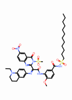 CCCCCCCCCCCCS(=O)(=O)NC(=O)c1ccc(OC)c(NC(=O)/C(=N/c2ccc3c(c2)CCCN3CC)c2nc3ccc([N+](=O)[O-])cc3c(=O)n2S(C)(=O)=O)c1